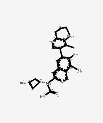 Cc1c(-c2cc3cc(N(C(=O)O)[C@H]4C[C@@H](O)C4)ncc3c(N)c2F)cnc2c1NCCC2